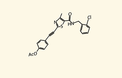 CC(=O)Oc1ccc(C#Cc2nc(C)c(C(=O)NCc3ccccc3Cl)s2)cc1